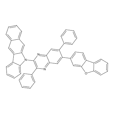 c1ccc(-c2cc3nc(-n4c5ccccc5c5cc6ccccc6cc54)c(-c4ccccc4)nc3cc2-c2ccc3c(c2)oc2ccccc23)cc1